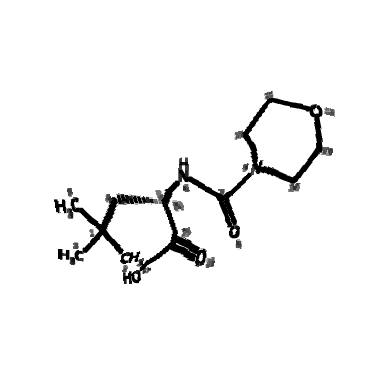 CC(C)(C)C[C@H](NC(=O)N1CCOCC1)C(=O)O